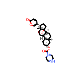 C[C@@]12CC[C@@H](OC(=O)N3CCNCC3)C[C@H]1CC[C@@H]1[C@H]2CC[C@]2(C)[C@@H](c3ccc(=O)oc3)CC[C@@]12O